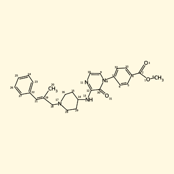 COC(=O)c1ccc(-n2ccnc(NC3CCN(C/C(C)=C/c4ccccc4)CC3)c2=O)cc1